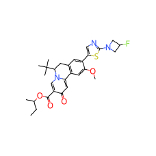 CCC(C)OC(=O)c1cn2c(cc1=O)-c1cc(OC)c(-c3cnc(N4CC(F)C4)s3)cc1CC2C(C)(C)C